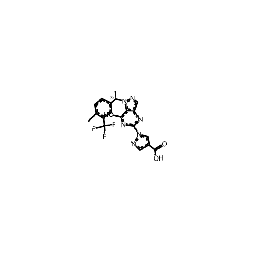 Cc1ccc([C@@H](C)n2ncc3nc(-n4cc(C(=O)O)cn4)nc(O)c32)cc1C(F)(F)F